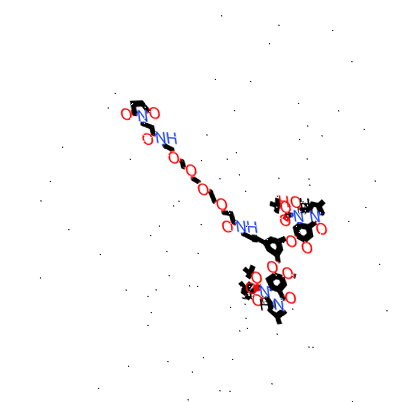 COc1cc2c(cc1OCc1cc(C#CCNC(=O)CCOCCOCCOCCOCCNC(=O)CCN3C(=O)C=CC3=O)cc(COc3cc4c(cc3OC)C(=O)N3C=C(C)C[C@H]3[C@H](O[Si](C)(C)C(C)(C)C)N4C(=O)OC(C)(C)C)c1)N(C(=O)OC(C)(C)C)[C@@H](O)[C@@H]1CC(C)=CN1C2=O